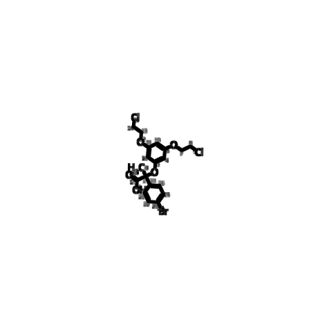 CC(Oc1cc(OCCCl)cc(OCCCl)c1)(C(=O)O)c1ccc(Br)cc1